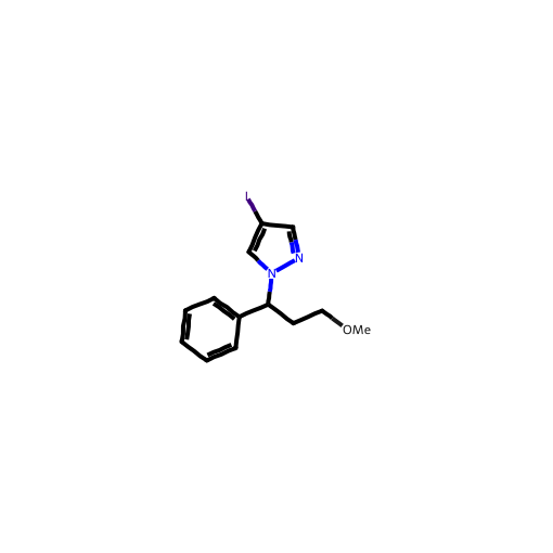 COCCC(c1ccccc1)n1cc(I)cn1